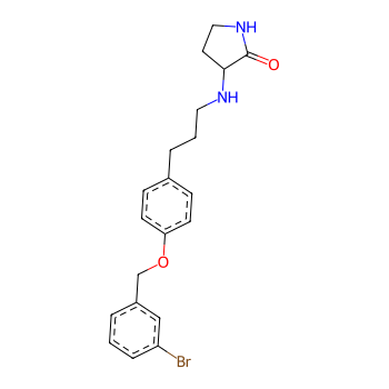 O=C1NCCC1NCCCc1ccc(OCc2cccc(Br)c2)cc1